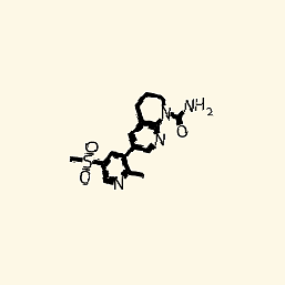 Cc1ncc(S(C)(=O)=O)cc1-c1cnc2c(c1)CCCN2C(N)=O